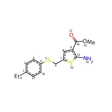 CCc1ccc(SCc2cc(C(=O)OC)c(N)s2)cc1